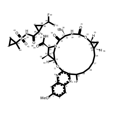 COc1ccc2nc3c(nc2c1)O[C@H]1CN(C(=O)[C@H](C(C)(C)C)NC(=O)O[C@@H]2C[C@H]2CCCCC3F)[C@H](C(=O)N[C@]2(C(=O)NS(=O)(=O)C3(C)CC3)C[C@H]2C(F)F)[C@@H]1C